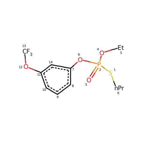 CCCSP(=O)(OCC)Oc1cccc(OC(F)(F)F)c1